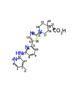 Cc1ccnc(Nc2cccc(-c3cnc(N4CCC(C)(CC(=O)O)CC4)s3)n2)c1